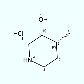 C[C@@H]1CCNC[C@@H]1O.Cl